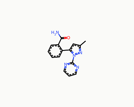 Cc1cc(-c2ccccc2C(N)=O)n(-c2ncccn2)n1